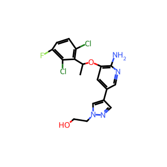 CC(Oc1cc(-c2cnn(CCO)c2)cnc1N)c1c(Cl)ccc(F)c1Cl